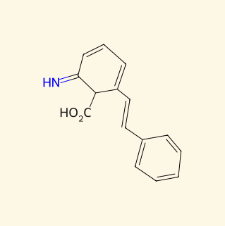 N=C1C=CC=C(C=Cc2ccccc2)C1C(=O)O